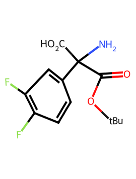 CC(C)(C)OC(=O)C(N)(C(=O)O)c1ccc(F)c(F)c1